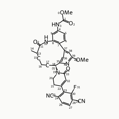 COC(=O)Nc1ccc2c(c1)NC(=O)C(C)CCC[C@H](N1CCC(c3c(C#N)ccc(C#N)c3F)=CC1=O)c1cc-2cc(OC)n1